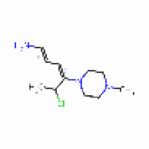 CC(Cl)/C(=C\C=C\N)N1CCN(C)CC1